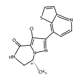 C[C@@H]1CNC(=O)c2c(Cl)c(-c3ccnc4ccsc34)nn21